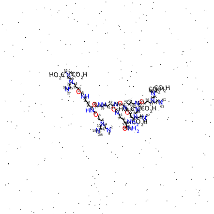 CN(C)CCN(CCCOCN[C@@H](CCCCNCOCCCN(CCN(C)C)CCN(CC(=O)O)CC(=O)O)OCNCCCC[C@H](N=CO[C@H](CCCCN=COCCCN(CCN(C)C)CCN(CC(=O)O)CC(=O)O)N=COCC[C@@H](C(=O)O)N(CCN(C)C)CCN(CC(=O)O)CC(=O)O)OC=NCCCC[C@H](N)C(N)=O)CCN(C)C